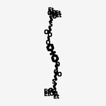 CCO[Si](CCCSCCC(=O)OCCOc1ccc(C(C)(C)c2ccc(OCCOC(=O)CCSCCC[Si](OCC)(OCC)OCC)cc2)cc1)(OCC)OCC